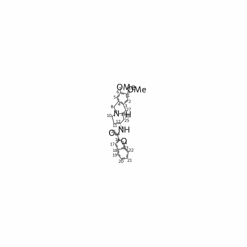 COc1cc2c(cc1OC)CN1CC[C@@H](NC(=O)c3cc4ccccc4o3)C[C@@H]1C2